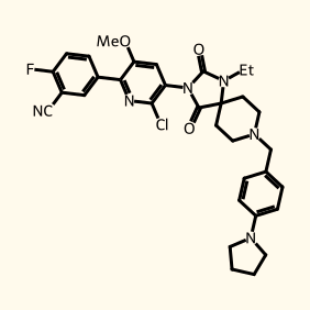 CCN1C(=O)N(c2cc(OC)c(-c3ccc(F)c(C#N)c3)nc2Cl)C(=O)C12CCN(Cc1ccc(N3CCCC3)cc1)CC2